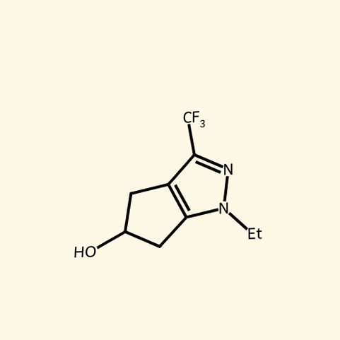 CCn1nc(C(F)(F)F)c2c1CC(O)C2